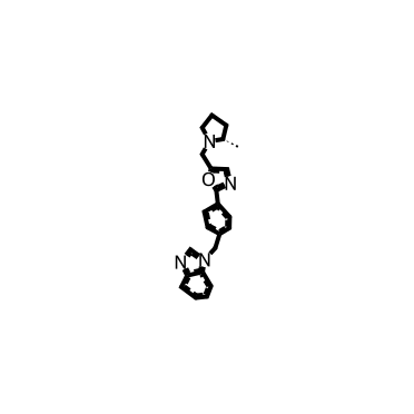 C[C@H]1CCCN1Cc1cnc(-c2ccc(Cn3cnc4ccccc43)cc2)o1